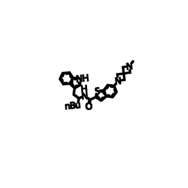 CCCCC(Cc1c[nH]c2ccccc12)NC(=O)c1cc2ccc(N3CC4(CN(C)C4)C3)cc2s1